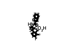 Cc1c(F)ccc(-c2scc(NC(=O)c3cc4ccccc4o3)c2C(=O)O)c1C